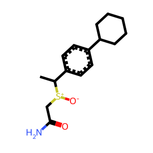 CC(c1ccc(C2CCCCC2)cc1)[S+]([O-])CC(N)=O